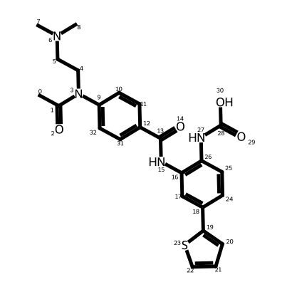 CC(=O)N(CCN(C)C)c1ccc(C(=O)Nc2cc(-c3cccs3)ccc2NC(=O)O)cc1